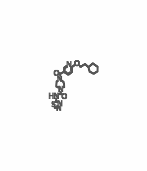 O=C(Nc1nncs1)N1CCN(C(=O)c2ccc(OCCC3CCCCC3)nc2)CC1